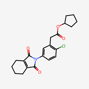 O=C(Cc1cc(N2C(=O)C3=C(CCCC3)C2=O)ccc1Cl)OC1CCCC1